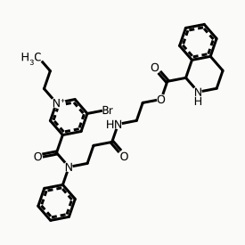 CCC[n+]1cc(Br)cc(C(=O)N(CCC(=O)NCCOC(=O)C2NCCc3ccccc32)c2ccccc2)c1